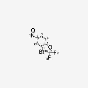 O=Nc1ccc(OC(F)(F)F)c(Br)c1